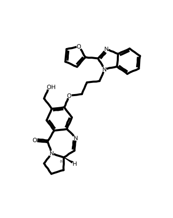 O=C1c2cc(CO)c(OCCCn3c(-c4ccco4)nc4ccccc43)cc2N=C[C@@H]2CCCN12